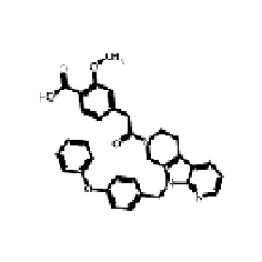 COc1cc(CC(=O)N2CCc3c(n(Cc4ccc(Oc5ccccc5)cc4)c4ncccc34)C2)ccc1C(=O)O